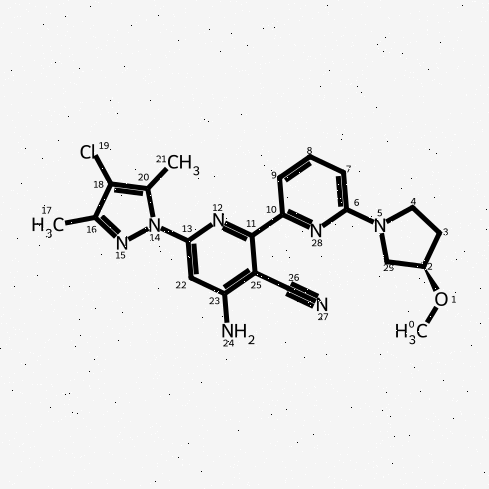 CO[C@@H]1CCN(c2cccc(-c3nc(-n4nc(C)c(Cl)c4C)cc(N)c3C#N)n2)C1